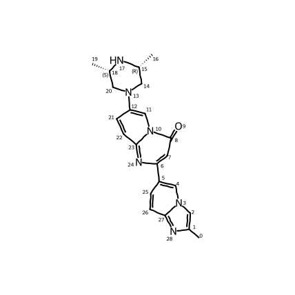 Cc1cn2cc(-c3cc(=O)n4cc(N5C[C@@H](C)N[C@@H](C)C5)ccc4n3)ccc2n1